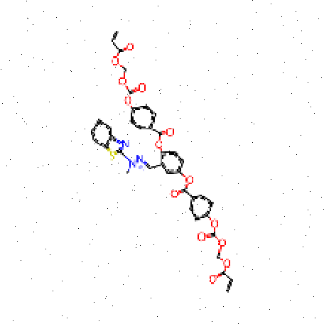 C=CC(=O)OCOC(=O)Oc1ccc(C(=O)Oc2ccc(OC(=O)c3ccc(OC(=O)OCOC(=O)C=C)cc3)c(/C=N/N(C)c3nc4ccccc4s3)c2)cc1